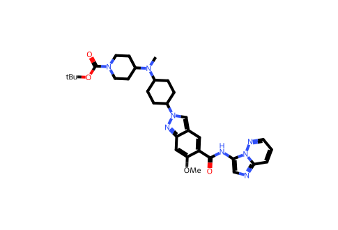 COc1cc2nn(C3CCC(N(C)C4CCN(C(=O)OC(C)(C)C)CC4)CC3)cc2cc1C(=O)Nc1cnc2cccnn12